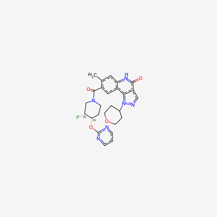 Cc1cc2[nH]c(=O)c3cnn(C4CCOCC4)c3c2cc1C(=O)N1CC[C@H](Oc2ncccn2)[C@H](F)C1